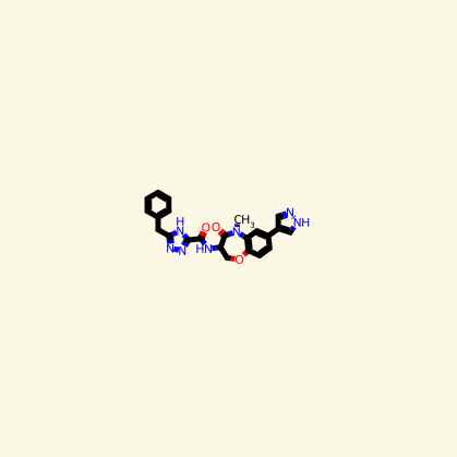 CN1C(=O)C(NC(=O)c2nnc(Cc3ccccc3)[nH]2)COc2ccc(-c3cn[nH]c3)cc21